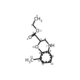 CCOC(=O)C1CNc2cccc(C)c2O1